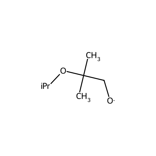 CC(C)OC(C)(C)C[O]